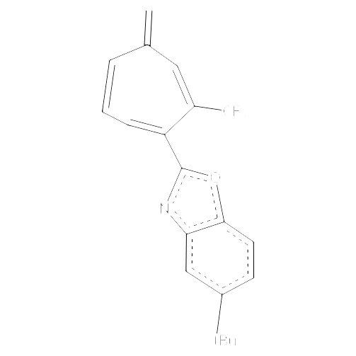 C=C1C=CC=C(c2nc3cc(C(C)(C)C)ccc3o2)C(C(F)(F)F)=C1